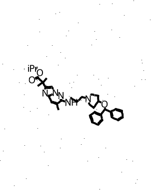 Cc1cc2nc(C(C)(C)C(=O)OC(C)C)cn2nc1NCCCN1CCC(OC(c2ccccc2)c2ccccc2)CC1